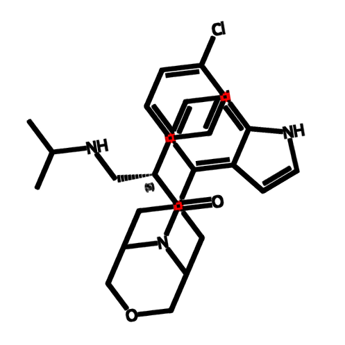 CC(C)NC[C@@H](C(=O)N1C2COCC1CN(c1ncnc3[nH]ccc13)C2)c1ccc(Cl)cc1